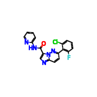 O=C(Nc1ccccn1)c1cnc2ccc(-c3c(F)cccc3Cl)nn12